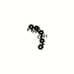 O=C(Nc1cccc(Nc2nccc(-c3cccc(F)c3F)n2)c1)c1ccc(CN2CCCCC2)cc1